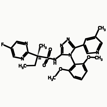 CC[C@@](C)(c1ncc(F)cn1)S(=O)(=O)Nc1nnc(-c2cncc(C)c2)n1-c1c(OC)cccc1OC